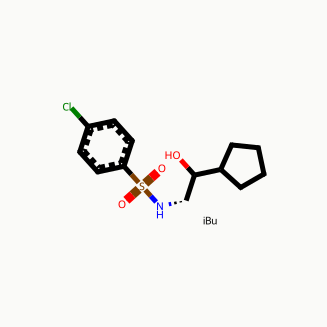 CC[C@H](C)[C@H](NS(=O)(=O)c1ccc(Cl)cc1)C(O)C1CCCC1